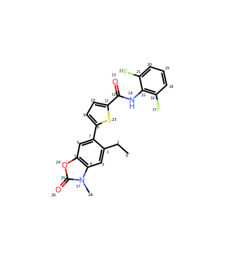 CCc1cc2c(cc1-c1ccc(C(=O)Nc3c(F)cccc3F)s1)oc(=O)n2C